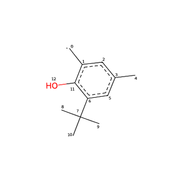 [CH2]c1cc(C)cc(C(C)(C)C)c1O